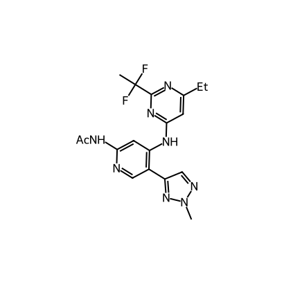 CCc1cc(Nc2cc(NC(C)=O)ncc2-c2cnn(C)n2)nc(C(C)(F)F)n1